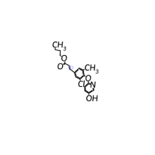 CCCCOC(=O)/C=C/c1cc(C)c(Oc2ccc(O)cn2)c(Cl)c1